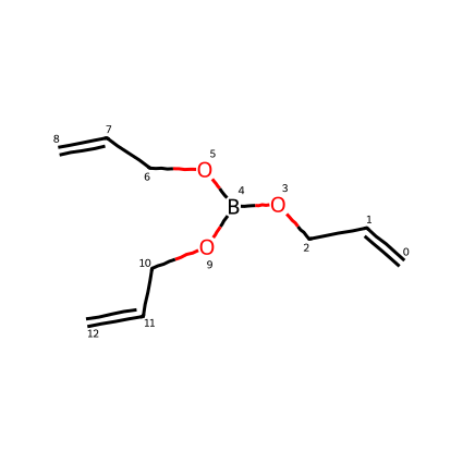 C=CCOB(OCC=C)OCC=C